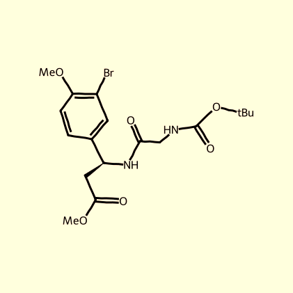 COC(=O)C[C@H](NC(=O)CNC(=O)OC(C)(C)C)c1ccc(OC)c(Br)c1